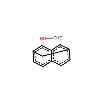 O=CO.c1cc2ccc3cc2cc1C3